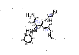 C=NC/C(C)=C/C(=C\N/C=C/CC)C(=N/Nc1ccccc1)/C(C)=C/N